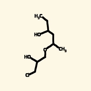 CCC(O)CC(C)OCC(O)CCl